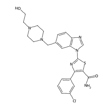 NC(=O)c1sc(-n2cnc3ccc(CN4CCN(CCO)CC4)cc32)nc1-c1cccc(Cl)c1